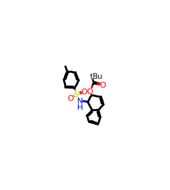 Cc1ccc(S(=O)(=O)NC2c3ccccc3C=C[C@@H]2OC(=O)C(C)(C)C)cc1